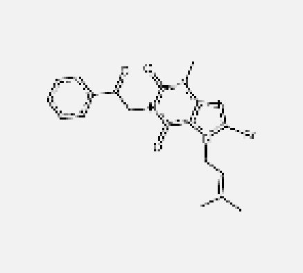 CC(C)=CCn1c(Br)nc2c1c(=O)n(CC(=O)c1ccccc1)c(=O)n2C